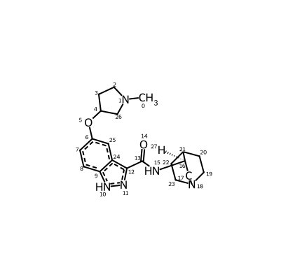 CN1CCC(Oc2ccc3[nH]nc(C(=O)N[C@@H]4CN5CCC4CC5)c3c2)C1